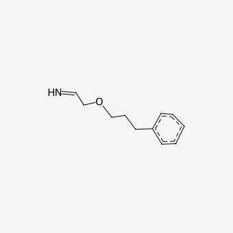 N=CCOCCCc1ccccc1